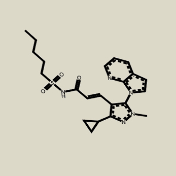 CCCCCS(=O)(=O)NC(=O)C=Cc1c(C2CC2)nn(C)c1-n1ccc2cccnc21